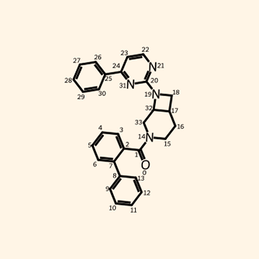 O=C(c1ccccc1-c1ccccc1)N1CCC2CN(c3nccc(-c4ccccc4)n3)C2C1